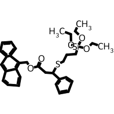 CCO[Si](CCCSC(CC(=O)OCc1c2ccccc2cc2ccccc12)c1ccccc1)(OCC)OCC